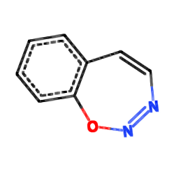 C1=Cc2ccccc2ON=N1